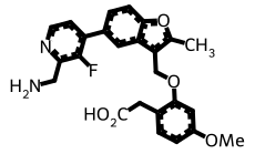 COc1ccc(CC(=O)O)c(OCc2c(C)oc3ccc(-c4ccnc(CN)c4F)cc23)c1